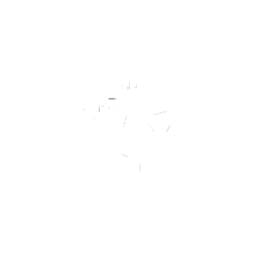 C=C(C)C(=O)O.CC(=CCCc1ccccc1)C(=O)O.CCCCC=C(C)C(=O)O